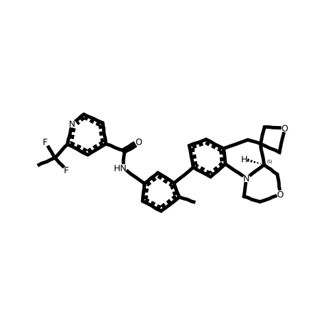 Cc1ccc(NC(=O)c2ccnc(C(C)(F)F)c2)cc1-c1ccc2c(c1)N1CCOC[C@@H]1C1(COC1)C2